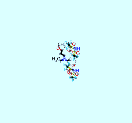 CCN(CC)CCCOC.O=S(=O)(NS(=O)(=O)C(F)(F)F)C(F)(F)F.O=S(=O)(NS(=O)(=O)C(F)(F)F)C(F)(F)F